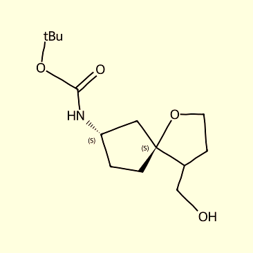 CC(C)(C)OC(=O)N[C@H]1CC[C@@]2(C1)OCCC2CO